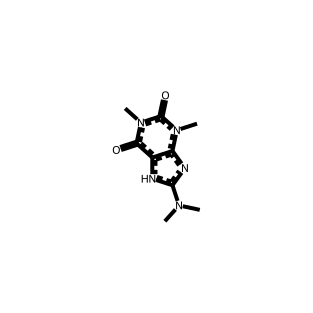 CN(C)c1nc2c([nH]1)c(=O)n(C)c(=O)n2C